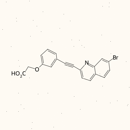 O=C(O)COc1cccc(C#Cc2ccc3ccc(Br)cc3n2)c1